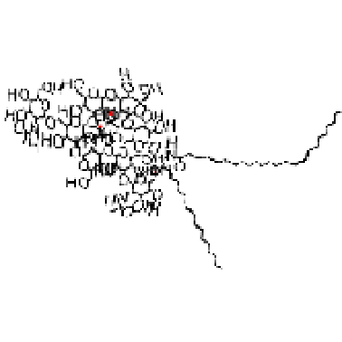 CCCCCCCC/C=C\CCCCCCCCCCCCCC(=O)N[C@@H](CO[C@@H]1OC(CO)[C@@H](O[C@@H]2OC(CO)[C@H](O)[C@H](O[C@@H]3OC(CO)[C@@H](O)[C@H](O[C@@H]4OC(CO[C@@H]5OC(CO)[C@@H](O)[C@H](O)C5NC(C)=O)[C@H](O)[C@H](O[C@@H]5OC(CO)[C@@H](O)[C@H](O[C@@H]6OC(CO)[C@H](O)[C@H](O[C@H]7OC(CO)[C@H](O)[C@H](O)C7NC(C)=O)C6O)C5NC(C)=O)C4O)C3NC(C)=O)C2O)[C@H](O)C1O)[C@H](O)/C=C/CCCCCCCCCCCCC